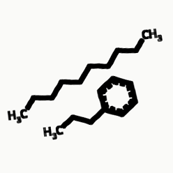 CCCCCCCCCC.CCCc1ccccc1